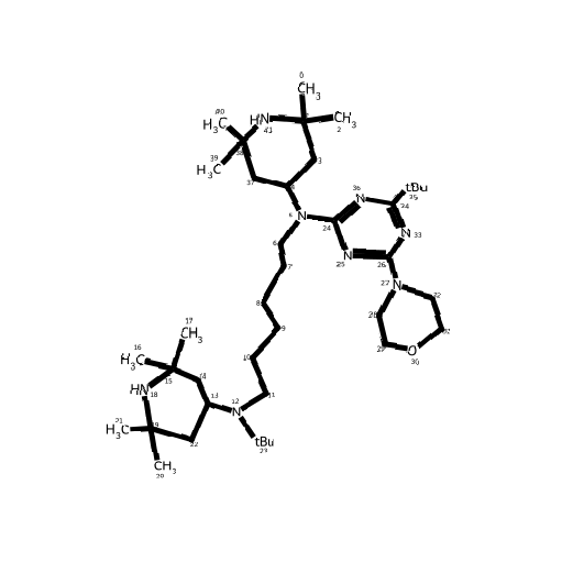 CC1(C)CC(N(CCCCCCN(C2CC(C)(C)NC(C)(C)C2)C(C)(C)C)c2nc(N3CCOCC3)nc(C(C)(C)C)n2)CC(C)(C)N1